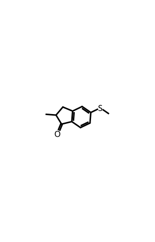 CSc1ccc2c(c1)CC(C)C2=O